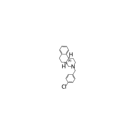 Clc1ccc(CN2CC[C@H]3c4ccccc4CC[C@@H]3C2)cc1